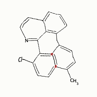 Cc1ccc(-c2cccc3ccnc(-c4ccccc4Cl)c23)cc1